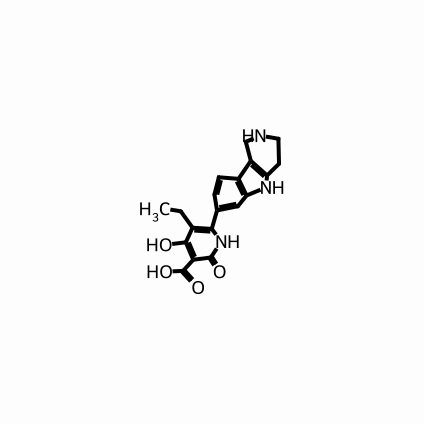 CCc1c(-c2ccc3c4c([nH]c3c2)CCNC4)[nH]c(=O)c(C(=O)O)c1O